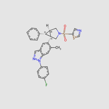 Cc1cc2c(cnn2-c2ccc(F)cc2)cc1[C@@]12CN(S(=O)(=O)c3cncs3)C[C@@H]1[C@H]2c1ccccc1